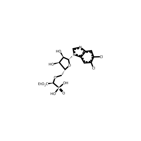 CCOC(=O)[C@@H](OC[C@H]1O[C@@H](n2cnc3cc(Cl)c(Cl)cc32)[C@H](O)[C@@H]1O)P(=O)(O)O